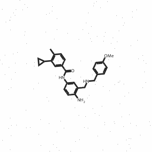 COc1ccc(CNCc2cc(NC(=O)c3ccc(C)c(C4CC4)c3)ccc2N)cc1